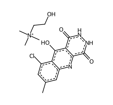 C[N+](C)(C)CCO.Cc1cc(Cl)c2c(O)c3c(=O)[nH][nH]c(=O)c3nc2c1